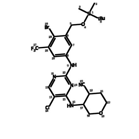 CC(C)(C)[Si](C)(C)OCc1cc(Nc2ncc(Cl)c(NC3COCCC3C#N)n2)cc(C(F)(F)F)c1Br